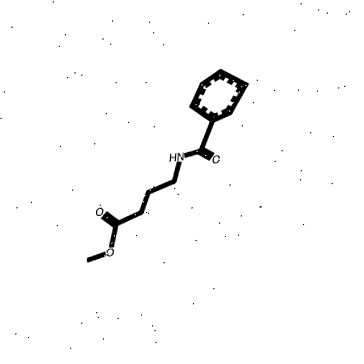 COC(=O)CCCNC(=O)c1ccccc1